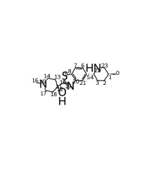 C[C@H]1CC[C@H](c2ccc3sc(C4(O)CCN(C)CC4)nc3c2)NC1